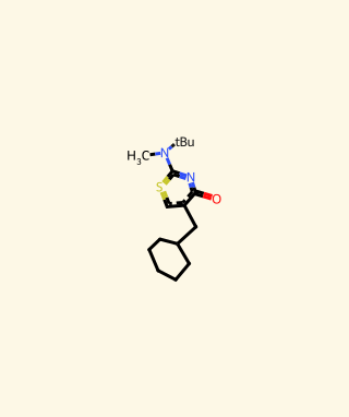 CN(c1nc(=O)c(CC2CCCCC2)cs1)C(C)(C)C